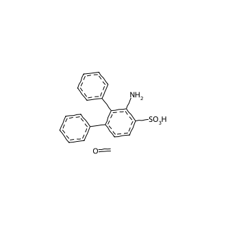 C=O.Nc1c(S(=O)(=O)O)ccc(-c2ccccc2)c1-c1ccccc1